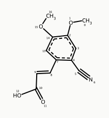 COc1cc(C#N)c(/C=C/C(=O)O)cc1OC